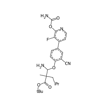 CC(C)CC(C)(C(=O)OC(C)(C)C)C(N)Oc1ccc(-c2ccnc(OC(N)=O)c2F)cc1C#N